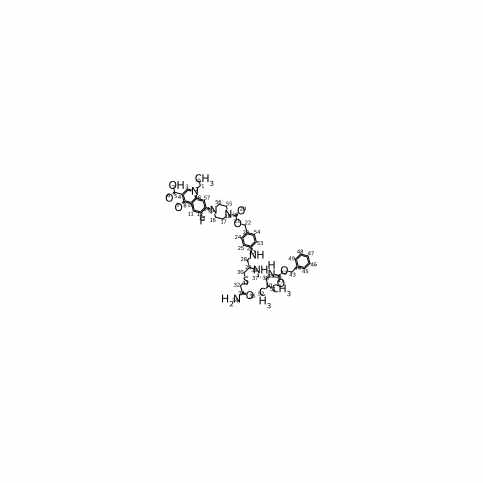 CCn1cc(C(=O)O)c(=O)c2cc(F)c(N3CCN(C(=O)OCc4ccc(NC[C@H](CSCC(N)=O)NC[C@H](NC(=O)OCc5ccccc5)C(C)C)cc4)CC3)cc21